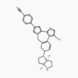 Cc1cnc2n1C1=C(CC(N3CC[C@@H]4NCC[C@@H]43)C=C1)Cn1cc(-c3ccc(C#N)cc3)cc1-2